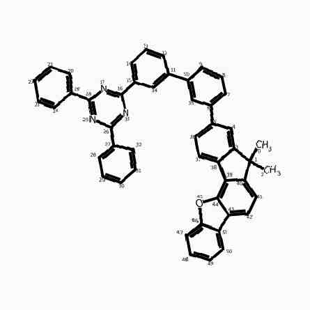 CC1(C)c2cc(-c3cccc(-c4cccc(-c5nc(-c6ccccc6)nc(-c6ccccc6)n5)c4)c3)ccc2-c2c1ccc1c2oc2ccccc21